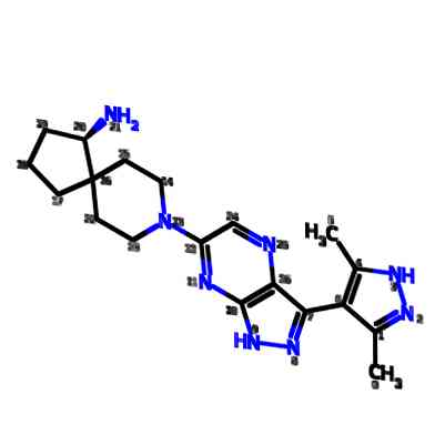 Cc1n[nH]c(C)c1-c1n[nH]c2nc(N3CCC4(CCC[C@H]4N)CC3)cnc12